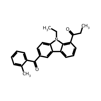 CCC(=O)c1cccc2c3cc(C(=O)c4ccccc4C)ccc3n(CC)c12